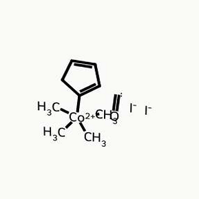 [CH3][Co+2]([CH3])([CH3])([CH3])[C]1=CC=CC1.[C]=O.[I-].[I-]